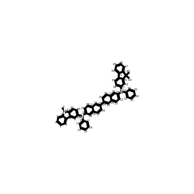 Cn1c2ccccc2c2cc(N(c3ccccc3)c3ccc4cc(-c5ccc6cc(N(c7ccccc7)c7ccc8c(c7)C(C)(C)c7ccccc7-8)ccc6c5)ccc4c3)ccc21